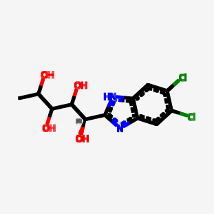 CC(O)C(O)C(O)[C@H](O)c1nc2cc(Cl)c(Cl)cc2[nH]1